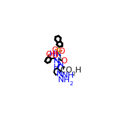 N=C(N)N1CCCC(CN(CC(=O)O)C(=O)[C@H](CNS(=O)(=O)c2ccc3ccccc3c2)NC(=O)c2ccccc2O)C1